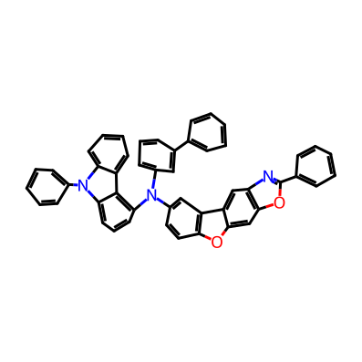 c1ccc(-c2cccc(N(c3ccc4oc5cc6oc(-c7ccccc7)nc6cc5c4c3)c3cccc4c3c3ccccc3n4-c3ccccc3)c2)cc1